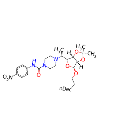 CCCCCCCCCCCCO[C@H]1O[C@H]([C@H](C)N2CCN(C(=O)Nc3ccc([N+](=O)[O-])cc3)CC2)[C@@H]2OC(C)(C)O[C@H]12